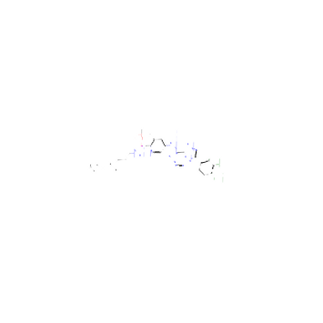 CCc1cc(Nc2nccn3c(-c4ccc(Cl)c(F)c4F)cnc23)ccc1C(=O)NCCCNC